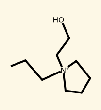 CCC[N+]1(CCO)CCCC1